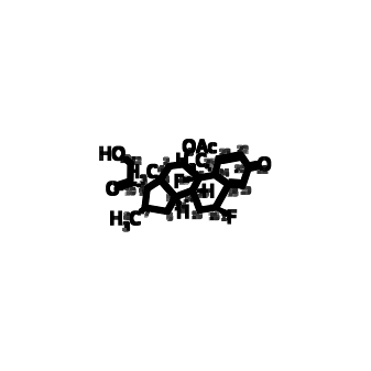 CC(=O)O[C@H]1C[C@@]2(C)[C@@H](C[C@@H](C)[C@@H]2C(=O)CO)[C@@H]2C[C@H](F)C3=CC(=O)C=C[C@]3(C)[C@@]12F